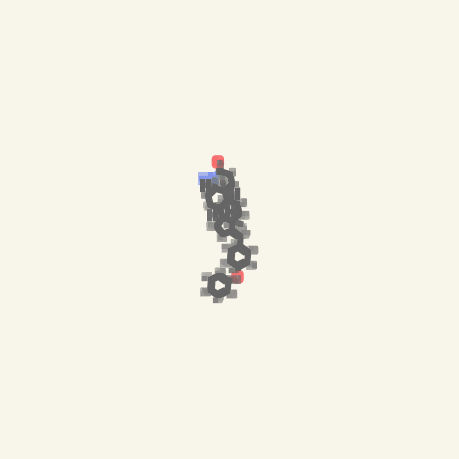 C[C@]12CCC(=O)N[C@@H]1CC[C@@H]1[C@@H]2CC[C@]2(C)C(=Cc3ccc(Oc4ccccc4)cc3)CC[C@@H]12